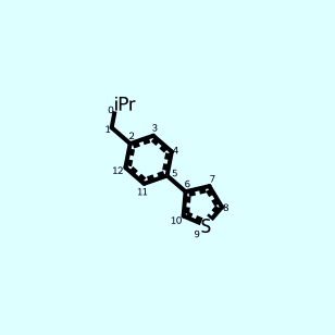 CC(C)Cc1ccc(-c2ccsc2)cc1